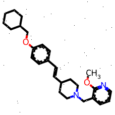 COc1ncccc1CN1CCC(C=Cc2ccc(OCC3CCCCC3)cc2)CC1